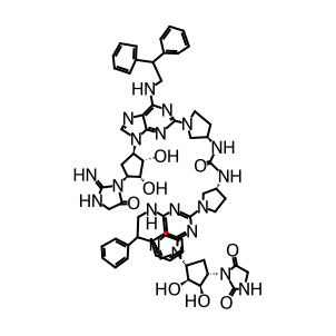 N=C1NCC(=O)N1[C@H]1C[C@@H](n2cnc3c(NCC(c4ccccc4)c4ccccc4)nc(N4CC[C@@H](NC(=O)N[C@@H]5CCN(c6nc(NCC(c7ccccc7)c7ccccc7)c7ncn([C@@H]8C[C@H](N9C(=O)CNC9=O)[C@@H](O)[C@H]8O)c7n6)C5)C4)nc32)[C@H](O)[C@@H]1O